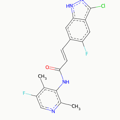 Cc1ncc(F)c(C)c1NC(=O)/C=C/c1cc2[nH]nc(Cl)c2cc1F